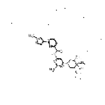 Cc1nc(NC(=O)c2cccc(-c3cnn(C)c3)n2)cc(N2C[C@@H](C)C(C)(O)[C@@H](C)C2)n1